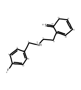 Fc1ccc(CNCCC2=CC=CCC2=S)cc1